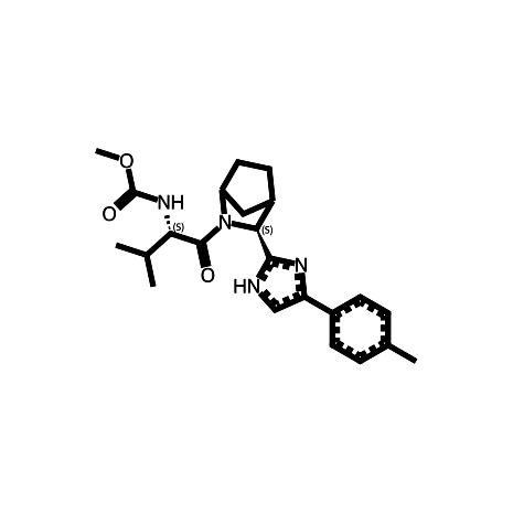 COC(=O)N[C@H](C(=O)N1C2CCC(C2)[C@H]1c1nc(-c2ccc(C)cc2)c[nH]1)C(C)C